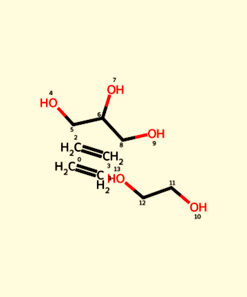 C=C.C=C.OCC(O)CO.OCCO